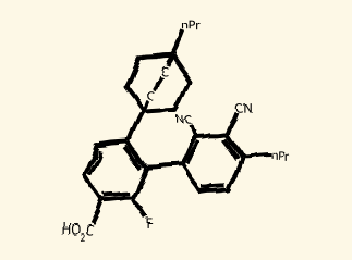 CCCc1ccc(-c2c(C34CCC(CCC)(CC3)CC4)ccc(C(=O)O)c2F)c(C#N)c1C#N